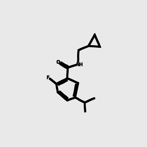 CC(C)c1ccc(F)c(C(=O)NCC2CC2)c1